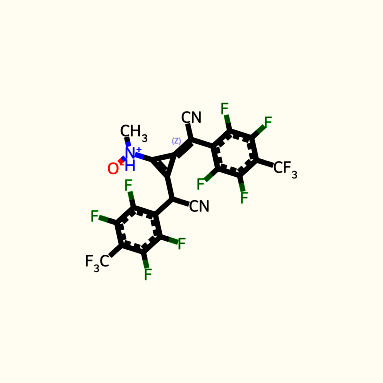 C[NH+]([O-])C1=C(C(C#N)c2c(F)c(F)c(C(F)(F)F)c(F)c2F)C/1=C(/C#N)c1c(F)c(F)c(C(F)(F)F)c(F)c1F